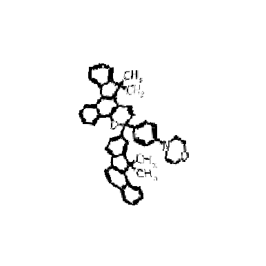 CC1(C)c2ccccc2-c2c1c1c(c3ccccc23)OC(c2ccc(N3CCOCC3)cc2)(c2ccc3c(c2)C(C)(C)c2c-3ccc3ccccc23)C=C1